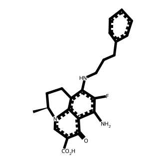 C[C@H]1CCc2c(NCCCc3ccccc3)c(F)c(N)c3c(=O)c(C(=O)O)cn1c23